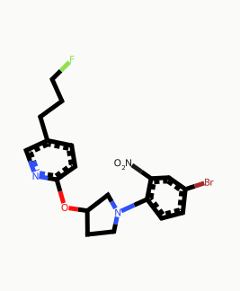 O=[N+]([O-])c1cc(Br)ccc1N1CCC(Oc2ccc(CCCF)cn2)C1